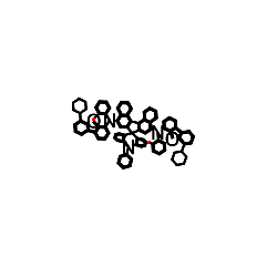 Cc1ccccc1N(c1cc2c(c3ccccc13)-c1c(cc(N(c3ccccc3C)c3cccc4c3oc3c(C5CCCCC5)cccc34)c3ccccc13)C21c2ccccc2N(c2ccccc2)c2ccccc21)c1cccc2c1oc1c(C3CCCCC3)cccc12